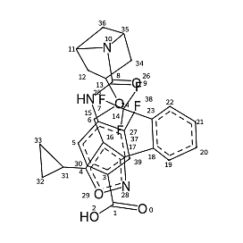 O=C(O)c1ccc(NC(=O)N2C3CC(OCc4c(-c5ccccc5C(F)(F)F)noc4C4CC4)CC2C3)c(F)c1